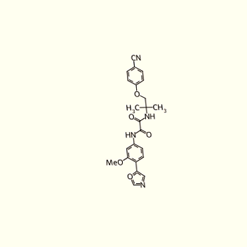 COc1cc(NC(=O)C(=O)NC(C)(C)COc2ccc(C#N)cc2)ccc1-c1cnco1